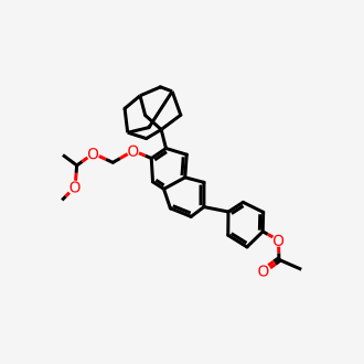 COC(C)OCOc1cc2ccc(-c3ccc(OC(C)=O)cc3)cc2cc1C12CC3CC(CC(C3)C1)C2